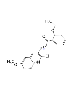 CCOc1ccccc1C(=O)/C=C/c1cc2cc(OC)ccc2nc1Cl